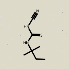 CCC(C)(C)NC(=S)NC#N